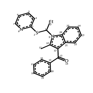 CCC(Sc1ccccn1)n1c(C)c(C(=O)c2ccccc2)c2ccccc21